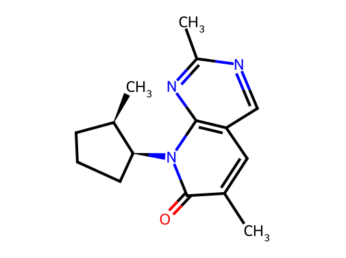 Cc1ncc2cc(C)c(=O)n([C@H]3CCC[C@H]3C)c2n1